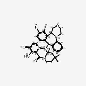 CC1(C)CCN2C(=O)c3c(O)c(=O)ccn3N([C@@H]3c4ccccc4N4CCOCC4c4c3ccc(F)c4F)[C@@H]2C1